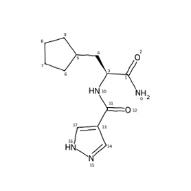 NC(=O)[C@H](CC1CCCC1)NC(=O)c1cn[nH]c1